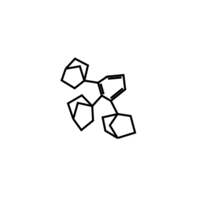 [c]1ccc(C23CCC(CC2)C3)c(C23CCC(CC2)C3)c1C12CCC(CC1)C2